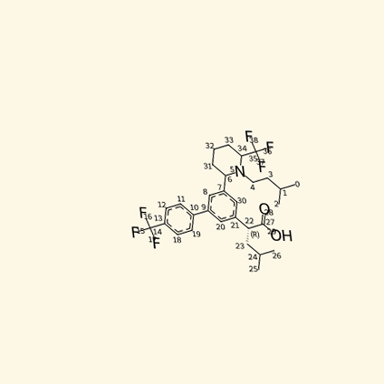 CC(C)CCN1C(c2cc(-c3ccc(C(F)(F)F)cc3)cc([C@@H](CC(C)C)C(=O)O)c2)CCCC1C(F)(F)F